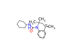 C[C@@H]1CC(C)(C)N(C(=O)NC2CCCCC2)c2ccccc21